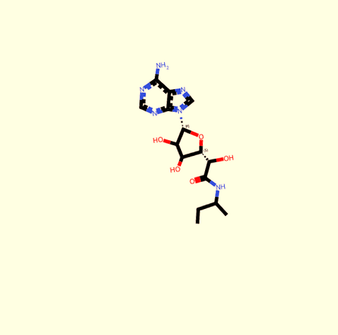 CCC(C)NC(=O)C(O)[C@H]1O[C@@H](n2cnc3c(N)ncnc32)C(O)C1O